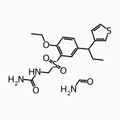 CCOc1ccc(C(CC)c2ccsc2)cc1S(=O)(=O)CNC(N)=O.NC=O